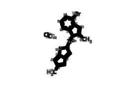 CC1=CC2=C[CH]([Zr+2][CH]3C(C)=Cc4c(Br)cccc43)SC2=C1.[Cl-].[Cl-]